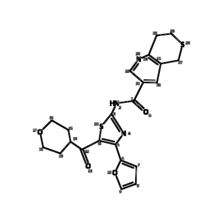 O=C(Nc1nc(-c2ccco2)c(C(=O)C2CCOCC2)s1)c1cnc2c(c1)CSCC2